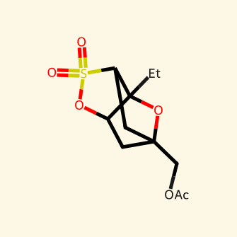 CCC12OC3(COC(C)=O)CC1OS(=O)(=O)C2C3